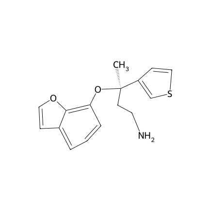 C[C@](CCN)(Oc1cccc2ccoc12)c1ccsc1